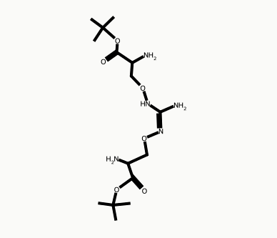 CC(C)(C)OC(=O)C(N)CON=C(N)NOCC(N)C(=O)OC(C)(C)C